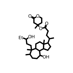 CCC(O)CCC1(C)C(C)CCC(O)C2C1CCC1(C)C(C(C)CCC(=O)OC3(C)CCOC(=O)C3)CCC21